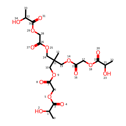 CC(O)C(=O)OCC(=O)OCC(C)(COC(=O)COC(=O)C(C)O)COC(=O)COC(=O)C(C)O